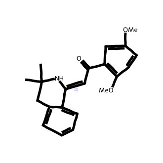 COc1ccc(OC)c(C(=O)/C=C2\NC(C)(C)Cc3ccccc32)c1